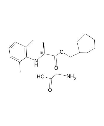 Cc1cccc(C)c1N[C@@H](C)C(=O)OCC1CCCCC1.NCC(=O)O